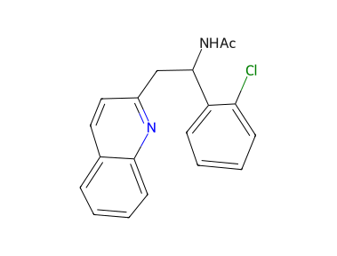 CC(=O)NC(Cc1ccc2ccccc2n1)c1ccccc1Cl